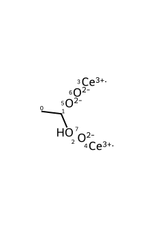 CCO.[Ce+3].[Ce+3].[O-2].[O-2].[O-2]